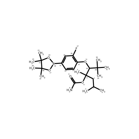 CC(C)CC(C)(OC(N)=O)C(Oc1ccc(B2OC(C)(C)C(C)(C)O2)cc1F)C(C)(C)C